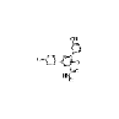 CCNC(=O)c1cc(-c2ccc(Cl)cc2)nn(-c2cccc(C#N)c2)c1=O